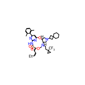 CC/C=C\C=C1/OCN(CCC2(C(F)(F)F)CC2)[C@@H]2CN(C3CC4(CCCCC4)C3)C[C@H]2Oc2cc(-c3c(C)cccc3C)nc(n2)NS1(=O)=O